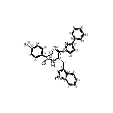 O=C([C@H](Cc1c[nH]c2ccccc12)NS(=O)(=O)c1ccc(Br)cc1)n1ccc(-c2ccccc2)n1